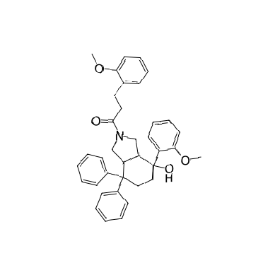 COc1ccccc1CCC(=O)N1CC2C(C1)C(c1ccccc1)(c1ccccc1)CCC2(O)c1ccccc1OC